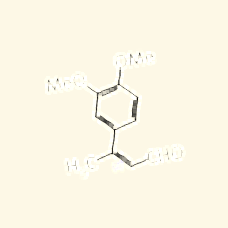 COc1ccc(/C(C)=C\C=O)cc1OC